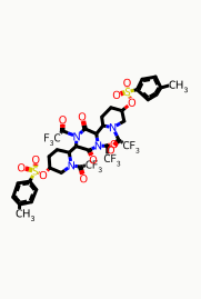 Cc1ccc(S(=O)(=O)OC2CCC(C3C(=O)N(C(=O)C(F)(F)F)C(C4CCC(OS(=O)(=O)c5ccc(C)cc5)CN4C(=O)C(F)(F)F)C(=O)N3C(=O)C(F)(F)F)N(C(=O)C(F)(F)F)C2)cc1